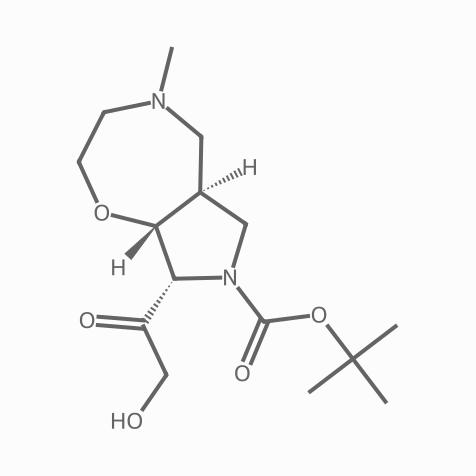 CN1CCO[C@@H]2[C@@H](C1)CN(C(=O)OC(C)(C)C)[C@@H]2C(=O)CO